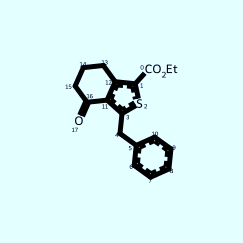 CCOC(=O)c1sc(Cc2ccccc2)c2c1CCCC2=O